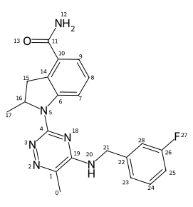 Cc1nnc(N2c3cccc(C(N)=O)c3CC2C)nc1NCc1cccc(F)c1